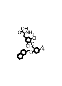 CN(C)c1ccc(OCc2ccc3ccccc3c2)c(COc2c(Cl)cc(C[C@H](N)C(=O)O)cc2Cl)c1